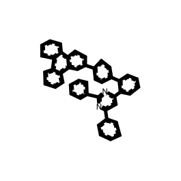 c1ccc(-c2cc(-c3ccccc3-c3ccc(-c4ccc5c6ccccc6c6ccccc6c5c4)cc3)nc(-c3ccccc3)n2)cc1